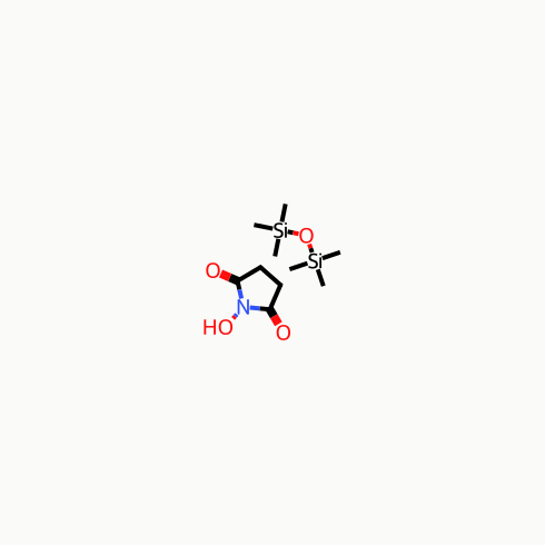 C[Si](C)(C)O[Si](C)(C)C.O=C1CCC(=O)N1O